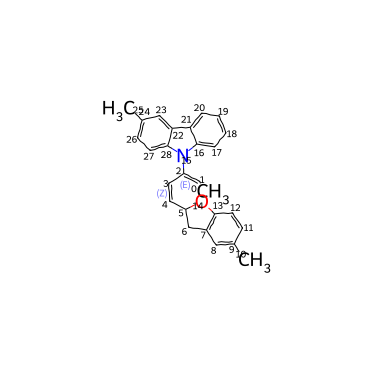 C/C=C(\C=C/C1Cc2cc(C)ccc2O1)n1c2ccccc2c2cc(C)ccc21